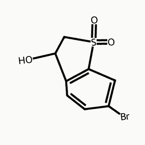 O=S1(=O)CC(O)c2ccc(Br)cc21